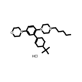 CCCCCN1CCN(c2ccc(N3CCOCC3)cc2C2=CCC(C(C)(C)C)CC2)CC1.Cl